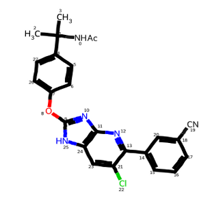 CC(=O)NC(C)(C)c1ccc(Oc2nc3nc(-c4cccc(C#N)c4)c(Cl)cc3[nH]2)cc1